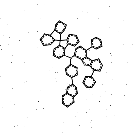 c1ccc(-c2cccc3c2sc2c(N(c4ccc(-c5ccc6ccccc6c5)cc4)c4cccc5c4-c4ccccc4C54c5ccccc5-c5ccccc54)ccc(-c4ccccc4)c23)cc1